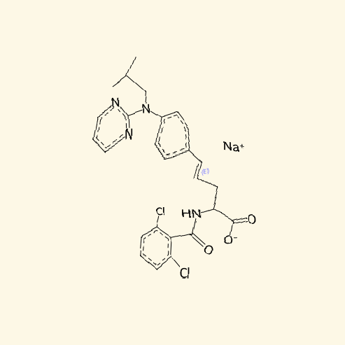 CC(C)CN(c1ccc(/C=C/CC(NC(=O)c2c(Cl)cccc2Cl)C(=O)[O-])cc1)c1ncccn1.[Na+]